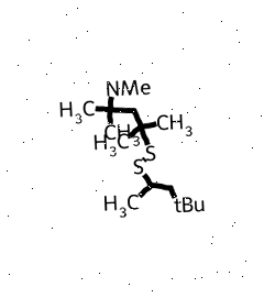 CNC(C)(C)CC(C)(C)SSC(C)CC(C)(C)C